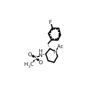 CC(=O)N1CCC[C@H](NS(C)(=O)=O)[C@@H]1Cc1cccc(F)c1